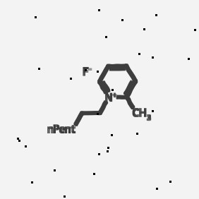 CCCCCCC[n+]1ccccc1C.[F-]